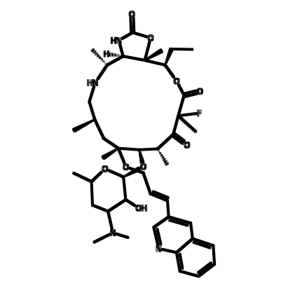 CC[C@H]1OC(=O)C(C)(F)C(=O)[C@H](C)[C@@H](O[C@@H]2OC(C)CC(N(C)C)C2O)[C@](C)(OC/C=C/c2cnc3ccccc3c2)C[C@@H](C)CN[C@H](C)[C@H]2NC(=O)O[C@@]21C